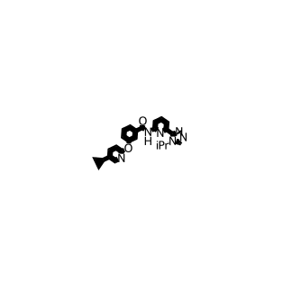 CC(C)n1cnnc1-c1cccc(NC(=O)c2cccc(Oc3ccc(C4CC4)cn3)c2)n1